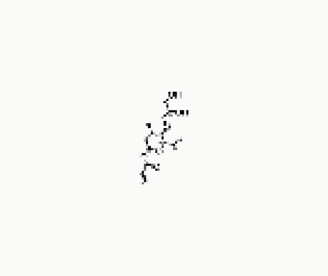 C=CC(=O)OC(CCC)OC(CO)COCC(O)CO